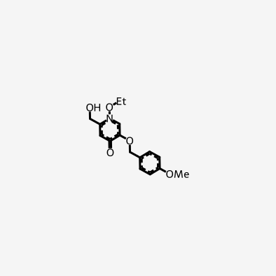 CCOn1cc(OCc2ccc(OC)cc2)c(=O)cc1CO